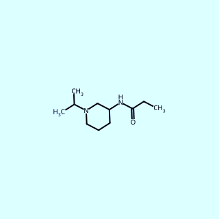 CCC(=O)NC1CCCN(C(C)C)C1